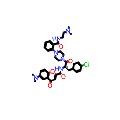 CN(C)CCNC(=O)c1ccccc1N1CCN(C(=O)[C@@H](CC2C=CC(Cl)=CC2)NC(=O)c2cc(=O)c3cc(N(C)C)ccc3o2)CC1